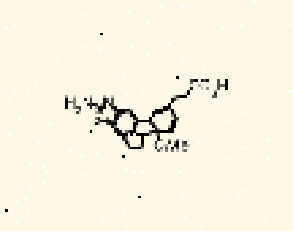 COC1(C2CCCC2)C=CC(CCC(=O)O)=CC1c1ccc2sc(N)nc2c1